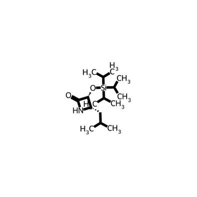 CC(C)C[C@@H]1NC(=O)[C@@H]1O[Si](C(C)C)(C(C)C)C(C)C